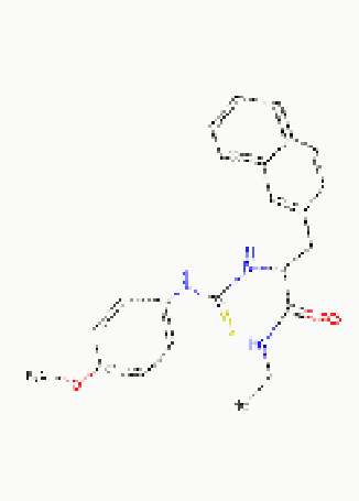 N#CCNC(=O)C(Cc1ccc2ccccc2c1)NC(=S)Nc1ccc(OC(F)(F)F)cc1